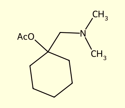 CC(=O)OC1(CN(C)C)CCCCC1